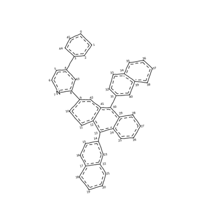 c1ccc(-c2ccnc(-c3ccc4c(-c5ccc6ccccc6c5)c5ccccc5c(-c5ccc6ccccc6c5)c4c3)c2)cc1